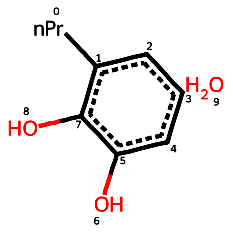 CCCc1cccc(O)c1O.O